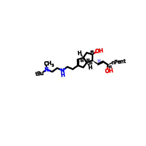 CCCCC[C@H](O)/C=C/[C@@H]1[C@H]2CC(CCNCCN(C)C(C)(C)C)=C[C@H]2C[C@H]1O